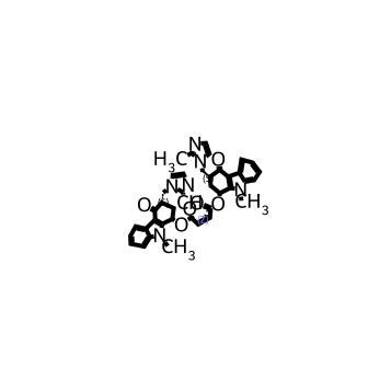 Cc1nccn1C[C@@H]1CC(OC(=O)/C=C\C(=O)OC2C[C@@H](Cn3ccnc3C)C(=O)c3c2n(C)c2ccccc32)c2c(c3ccccc3n2C)C1=O